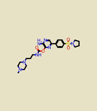 CN1CCN(CCCNC(=O)Oc2nc(-c3ccc(S(=O)(=O)N4CCCC4)cc3)cnc2N)CC1